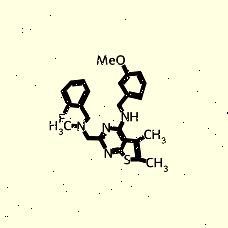 COc1cccc(CNc2nc(CN(C)Cc3ccccc3F)nc3sc(C)c(C)c23)c1